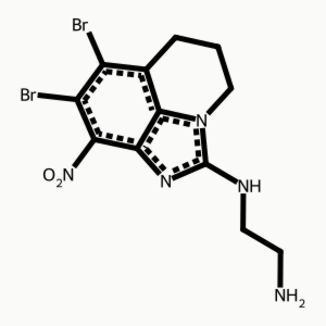 NCCNc1nc2c([N+](=O)[O-])c(Br)c(Br)c3c2n1CCC3